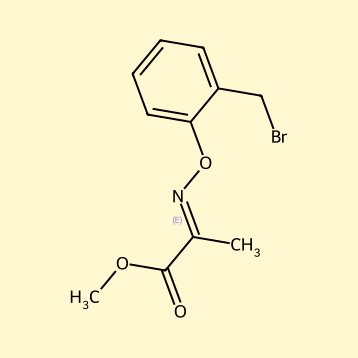 COC(=O)/C(C)=N/Oc1ccccc1CBr